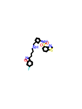 O=S(=O)(Nc1cccc(CNCCCCc2noc3cc(F)ccc23)c1)c1cccc2scnc12